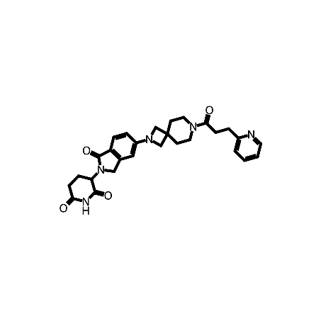 O=C1CCC(N2Cc3cc(N4CC5(CCN(C(=O)CCc6ccccn6)CC5)C4)ccc3C2=O)C(=O)N1